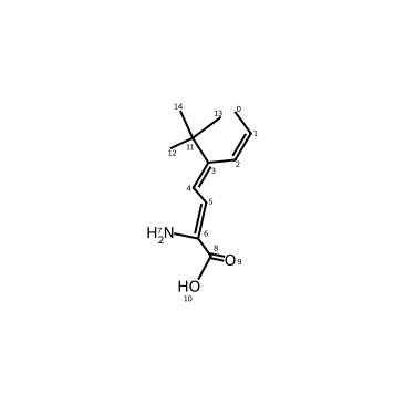 C\C=C/C(=C\C=C(/N)C(=O)O)C(C)(C)C